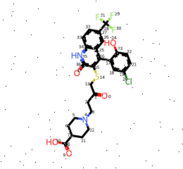 O=C(CCN1CCC(C(=O)O)CC1)CSc1c(-c2cc(Cl)ccc2O)c2cc(C(F)(F)F)ccc2[nH]c1=O